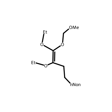 CCCCCCCCCCCC(OCC)=C(OCC)OCOC